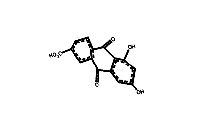 O=C(O)c1ccc2c(c1)C(=O)c1cc(O)cc(O)c1C2=O